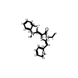 CCn1c(=O)/c(=C2\Sc3ccccc3N2C)s/c1=C\c1ccccn1